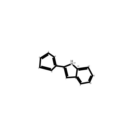 [c]1ccccc1-c1cc2ccccc2[nH]1